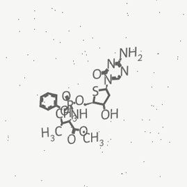 COC(=O)[C@@H](NP(=O)(OC[C@H]1S[C@@H](n2cnc(N)nc2=O)CC1O)Oc1ccccc1)C(C)C